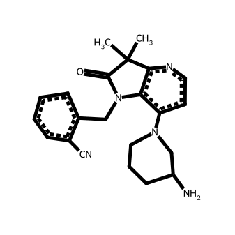 CC1(C)C(=O)N(Cc2ccccc2C#N)c2c(N3CCCC(N)C3)ccnc21